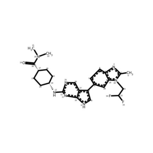 Cc1nc2ccc(-c3c[nH]c4nc(N[C@H]5CC[C@@H](C(=O)N(C)C)CC5)ncc34)cc2n1CC(F)F